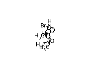 CCN(CC)C(=O)[C@H]1C=C2c3cccc4[nH]c(Br)c(c34)C[C@H]2N(C)C1